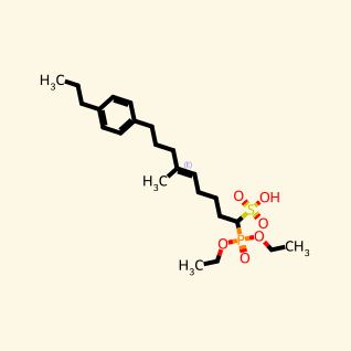 CCCc1ccc(CCC/C(C)=C/CCCC(P(=O)(OCC)OCC)S(=O)(=O)O)cc1